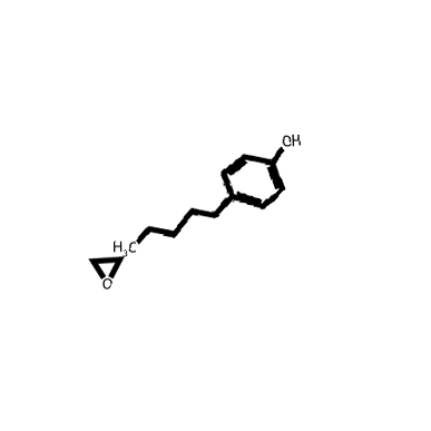 C1CO1.CCCCCc1ccc(O)cc1